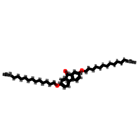 CCCCCCCCCCCCCCCCCCCCCCOc1ccc2c(c1)C(=O)c1cc(OCCCCCCCCCCCCCCCCCCCCCC)ccc1-2